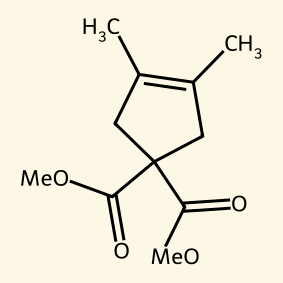 COC(=O)C1(C(=O)OC)CC(C)=C(C)C1